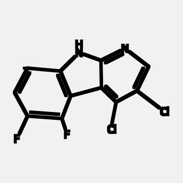 Fc1c[c]c2[nH]c3ncc(Cl)c(Cl)c3c2c1F